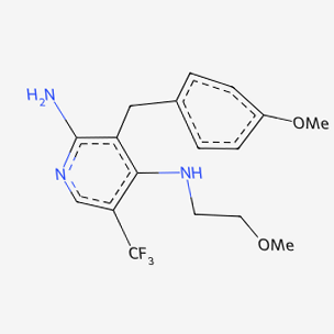 COCCNc1c(C(F)(F)F)cnc(N)c1Cc1ccc(OC)cc1